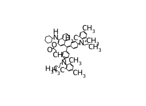 C=CC(=O)OC1CCCCC1Nc1ccc(C(=C2C=CC(=[N+](CCC)c3c(C)cc(C)cc3C)C=C2)c2ccc(N(CCC)c3c(C)cc(C)cc3C)cc2)c2ccccc12